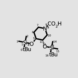 CC(C)(C)[Si](C)(C)O[C@H]1CCN(C(=O)O)C[C@@H]1O[Si](C)(C)C(C)(C)C